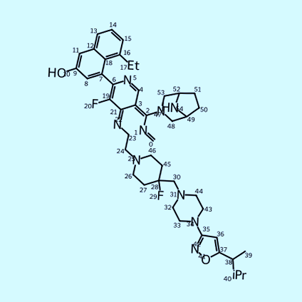 C=N/C(=C1/C=NC(c2cc(O)cc3cccc(CC)c23)=C(F)/C1=N/CCN1CCC(F)(CN2CCN(c3cc(C(C)C(C)C)on3)CC2)CC1)N1CC2CCC(C1)N2